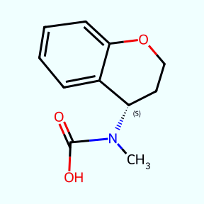 CN(C(=O)O)[C@H]1CCOc2ccccc21